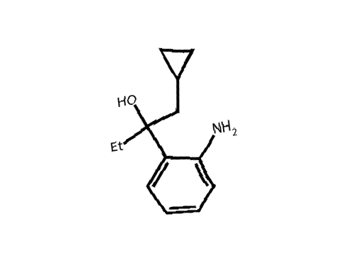 CCC(O)(CC1CC1)c1ccccc1N